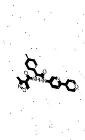 Cc1nocc1C(=O)N[C@H](C(=O)Nc1ccc(C2CCOCC2)nc1)[C@H]1CC[C@H](C)CC1